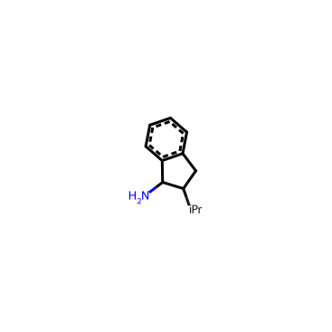 CC(C)C1Cc2ccccc2C1N